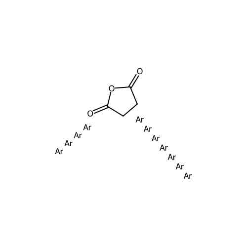 O=C1CCC(=O)O1.[Ar].[Ar].[Ar].[Ar].[Ar].[Ar].[Ar].[Ar].[Ar].[Ar].[Ar]